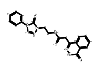 O=C(Cc1n[nH]c(=O)c2ccccc12)NCCn1nnn(-c2ccccc2)c1=O